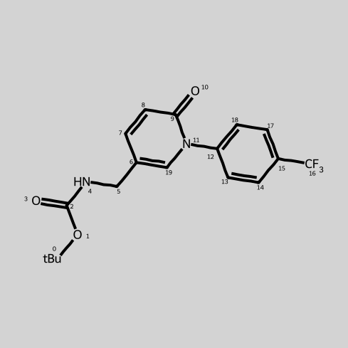 CC(C)(C)OC(=O)NCc1ccc(=O)n(-c2ccc(C(F)(F)F)cc2)c1